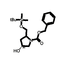 CC(C)(C)[Si](C)(C)OCC1C[C@@H](O)CN1C(=O)OCc1ccccc1